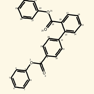 O=C(Oc1ccccc1)c1ccc(-c2ccccc2C(=O)Oc2ccccc2)cc1